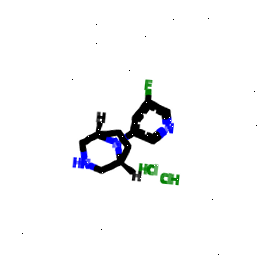 Cl.Cl.Fc1cncc(N2[C@@H]3CC[C@H]2CNC3)c1